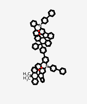 CC1(C)c2ccccc2C2(c3ccccc3-c3cc(N(c4ccc(-c5ccccc5)cc4)c4ccc(-c5ccc(C6(c7ccccc7)c7ccccc7C7(c8ccccc8-c8cc(N(c9ccc(-c%10ccccc%10)cc9)c9ccccc9-c9ccccc9)ccc87)c7ccccc76)cc5)cc4-c4ccccc4)ccc32)c2ccccc21